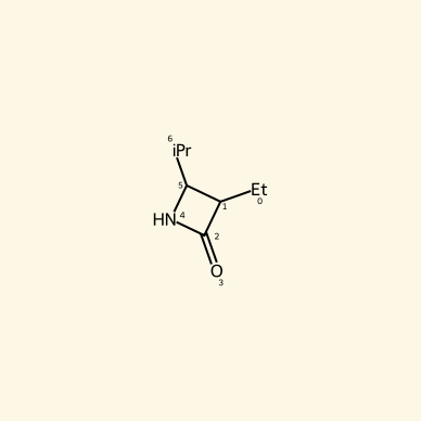 CCC1C(=O)NC1C(C)C